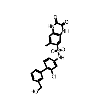 Cc1cc2[nH]c(=O)c(=O)[nH]c2cc1S(=O)(=O)Nc1ccc(-c2cccc(CO)c2)c(Cl)c1